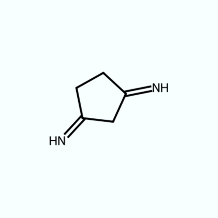 N=C1CCC(=N)C1